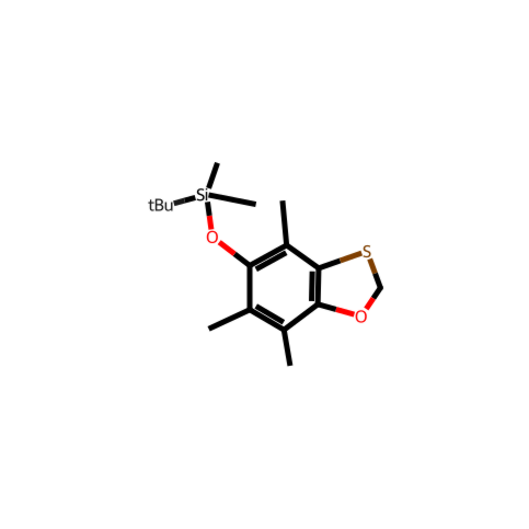 Cc1c(C)c2c(c(C)c1O[Si](C)(C)C(C)(C)C)SCO2